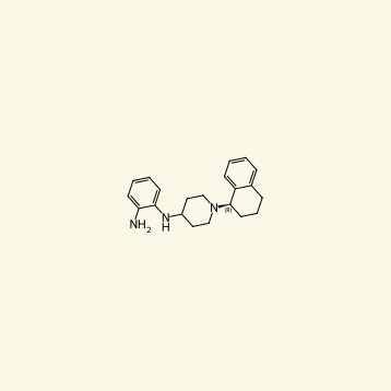 Nc1ccccc1NC1CCN([C@@H]2CCCc3ccccc32)CC1